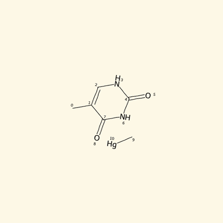 Cc1c[nH]c(=O)[nH]c1=O.[CH3][Hg]